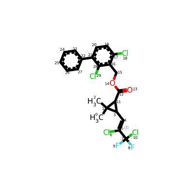 CC1(C)C(/C=C(\Cl)C(F)(F)Cl)C1C(=O)OCc1c(Cl)ccc(-c2ccccc2)c1Cl